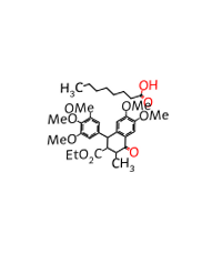 CCCCCCCC(=O)O.CCOC(=O)C1C(C)C(=O)c2cc(OC)c(OC)cc2C1c1cc(OC)c(OC)c(OC)c1